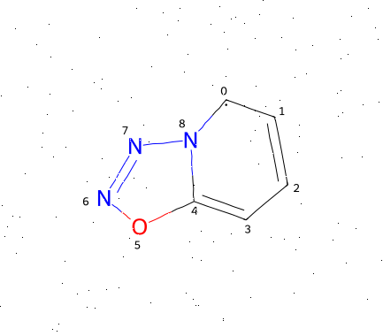 [CH]1C=CC=C2ON=NN12